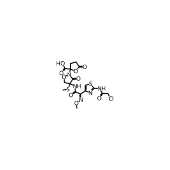 CO/N=C(\C(=O)NC1(SC)CON(C2(C(=O)O)CCC(=O)O2)C1=O)c1csc(NC(=O)CCl)n1